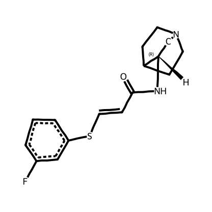 O=C(C=CSc1cccc(F)c1)N[C@H]1CN2CCC1CC2